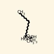 CCCCCCCC/C=C\CCCCCCCC(=O)ON(C(C)O)C(C)O